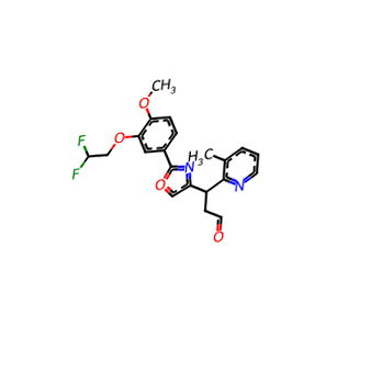 COc1ccc(-c2nc(C(CC=O)c3ncccc3C)co2)cc1OCC(F)F